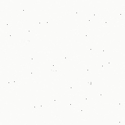 NCCCCCCN.[NaH]